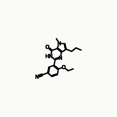 CCCc1cn(C)c2c(=O)[nH]c(-c3cc(C#N)ccc3OCC)nc12